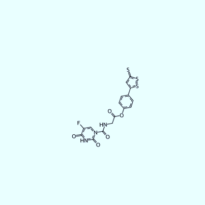 O=C(CNC(=O)n1cc(F)c(=O)[nH]c1=O)Oc1ccc(-c2cc(=S)ss2)cc1